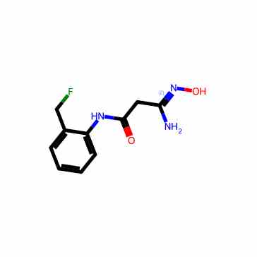 N/C(CC(=O)Nc1ccccc1CF)=N\O